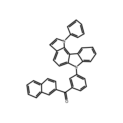 O=C(c1cccc(-n2c3ccccc3c3c4c(ccc32)ccn4-c2ccccc2)c1)c1ccc2ccccc2c1